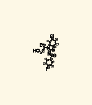 CCC(C(=O)O)n1c(=NC(=O)c2ccc(F)cc2)sc2ccc(Cl)cc21